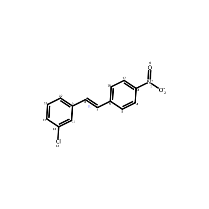 O=[N+]([O-])c1ccc(/C=C/c2cccc(Cl)c2)cc1